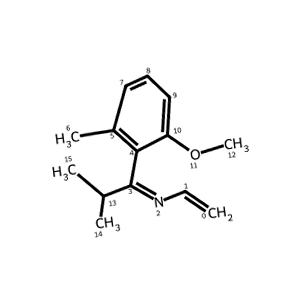 C=C/N=C(\c1c(C)cccc1OC)C(C)C